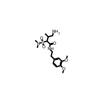 COc1ccc(CCNC(=O)C(C(C)CN)S(=O)(=O)N(C)C)cc1OC